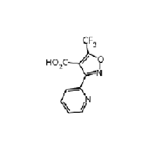 O=C(O)c1c(-c2ccccn2)noc1C(F)(F)F